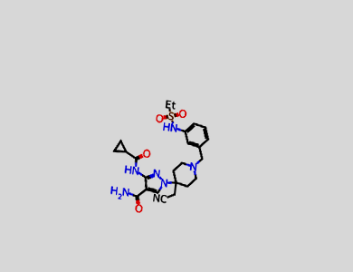 CCS(=O)(=O)Nc1cccc(CN2CCC(CC#N)(n3cc(C(N)=O)c(NC(=O)C4CC4)n3)CC2)c1